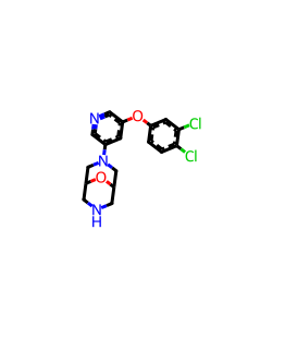 Clc1ccc(Oc2cncc(N3CC4CNCC(C3)O4)c2)cc1Cl